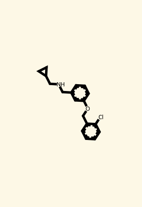 Clc1ccccc1COc1cccc(CNCC2CC2)c1